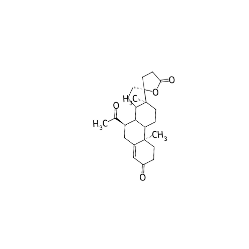 CC(=O)[C@@H]1CC2=CC(=O)CC[C@]2(C)C2CC[C@@]3(C)C(CC[C@@]34CCC(=O)O4)C21